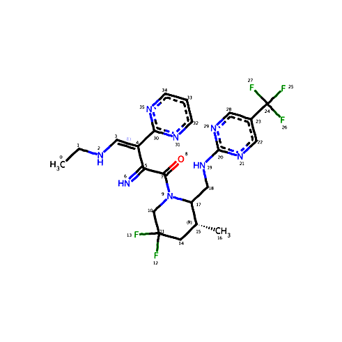 CCN/C=C(\C(=N)C(=O)N1CC(F)(F)C[C@@H](C)C1CNc1ncc(C(F)(F)F)cn1)c1ncccn1